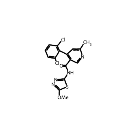 COc1nnc(NC(=O)c2cnc(C)cc2-c2c(Cl)cccc2Cl)s1